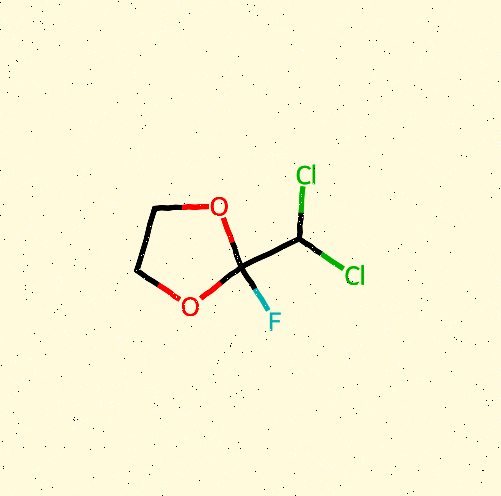 FC1(C(Cl)Cl)OCCO1